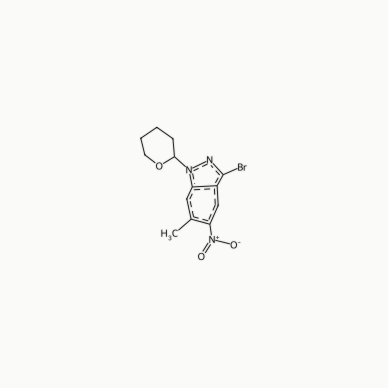 Cc1cc2c(cc1[N+](=O)[O-])c(Br)nn2C1CCCCO1